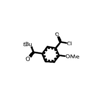 COc1ccc(C(=O)C(C)(C)C)cc1C(=O)Cl